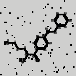 CC(C)CCCC(C)C(=O)c1ccc(OCc2ccccc2)cc1